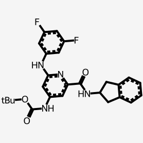 CC(C)(C)OC(=O)Nc1cc(Nc2cc(F)cc(F)c2)nc(C(=O)NC2Cc3ccccc3C2)c1